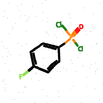 O=P(Cl)(Cl)c1ccc(F)cc1